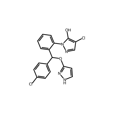 Oc1c(Cl)cnn1-c1ccccc1C(Oc1cc[nH]n1)c1ccc(Cl)cc1